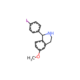 COc1ccc2c(c1)CCNC2c1ccc(I)cc1